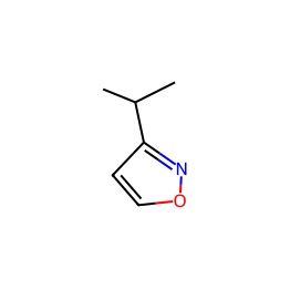 CC(C)c1ccon1